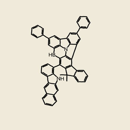 CC1(C)c2ccccc2-c2c1c(-c1cccc3c1[nH]c1cc4ccccc4cc13)c1c3c2c2cc(-c4ccccc4)cc4c5cc(-c6ccccc6)cc(c5n3c42)B1